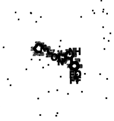 FC(F)(F)Oc1ccc(C2CNCc3cc(OCCCN4CCCCC4)ncc32)cc1